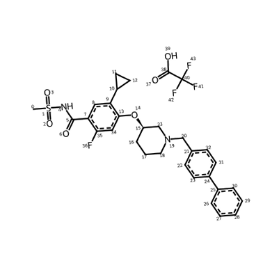 CS(=O)(=O)NC(=O)c1cc(C2CC2)c(O[C@@H]2CCCN(Cc3ccc(-c4ccccc4)cc3)C2)cc1F.O=C(O)C(F)(F)F